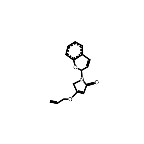 C=CCOC1=CC(=O)N(C2C=Cc3ccccc3O2)C1